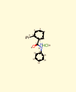 CC(C)c1ccccc1C(=O)Nc1ccccc1.Cl